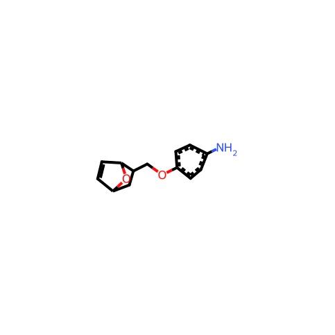 Nc1ccc(OCC2CC3C=CC2O3)cc1